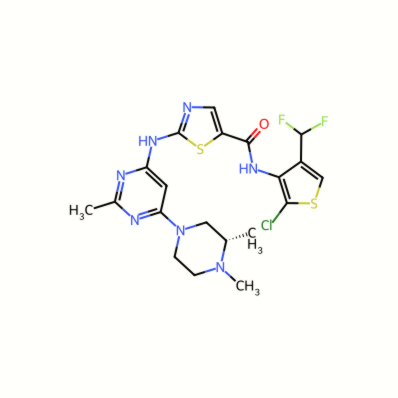 Cc1nc(Nc2ncc(C(=O)Nc3c(C(F)F)csc3Cl)s2)cc(N2CCN(C)[C@@H](C)C2)n1